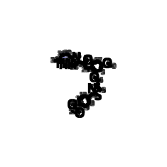 COc1cc(OCc2csc(-c3ccc(S(C)(=O)=O)cc3)n2)c2cc(-c3c[nH]c(/C=C\C(C)=N)n3)oc2c1